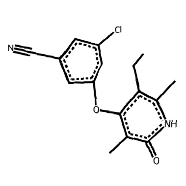 CCc1c(C)[nH]c(=O)c(C)c1Oc1cc(Cl)cc(C#N)c1